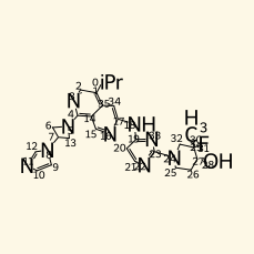 CC(C)c1cnc(N2CC(n3ccnc3)C2)c2cnc(Nc3ccnc(N4CC[C@@H](O)[C@@](C)(F)C4)n3)cc12